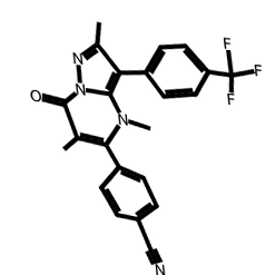 Cc1nn2c(=O)c(C)c(-c3ccc(C#N)cc3)n(C)c2c1-c1ccc(C(F)(F)F)cc1